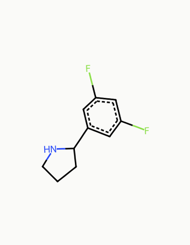 Fc1cc(F)cc(C2CCCN2)c1